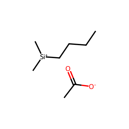 CC(=O)[O-].CCCC[Si+](C)C